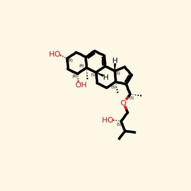 CC(C)[C@H](O)CO[C@@H](C)C1=CC[C@H]2C3=CC=C4C[C@@H](O)C[C@@H](O)[C@]4(C)[C@H]3CC[C@]12C